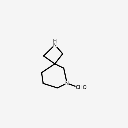 O=CN1CCCC2(CNC2)C1